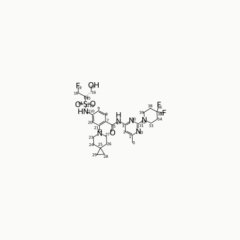 Cc1cc(NC(=O)c2ccc(NS(=O)(=O)[C@@H](CO)CF)cc2N2CCC3(CC2)CC3)nc(N2CCC(F)(F)CC2)n1